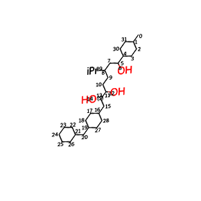 CC1CCC(C(O)CC(CCC(O)[C@@H](O)CC2CCC(CC3CCCCC3)CC2)C(C)C)CC1